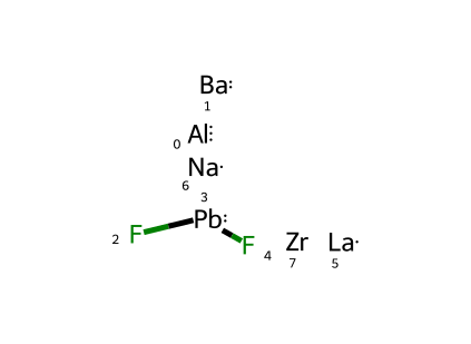 [Al].[Ba].[F][Pb][F].[La].[Na].[Zr]